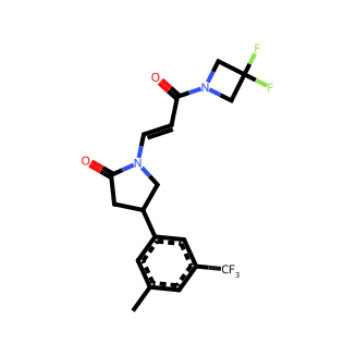 Cc1cc(C2CC(=O)N(/C=C/C(=O)N3CC(F)(F)C3)C2)cc(C(F)(F)F)c1